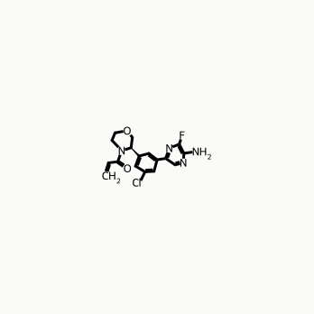 C=CC(=O)N1CCOC[C@H]1c1cc(Cl)cc(-c2cnc(N)c(F)n2)c1